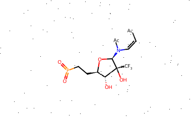 CC(=O)/C=C\N(C(C)=O)[C@@H]1O[C@H](CCP(=O)=O)[C@@H](O)[C@]1(O)C(F)(F)F